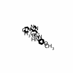 COc1ccc2[nH]c([S+]([O-])Cc3ncnc(N4CCOCC4)c3C)nc2c1